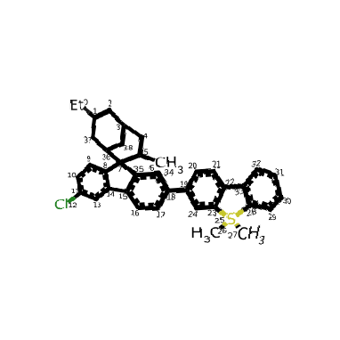 CCC1CC2CC(C)C3(c4ccc(Cl)cc4-c4ccc(-c5ccc6c(c5)S(C)(C)c5ccccc5-6)cc43)C(C1)C2